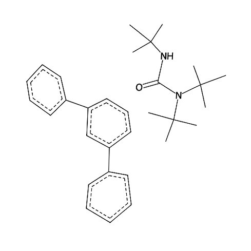 CC(C)(C)NC(=O)N(C(C)(C)C)C(C)(C)C.c1ccc(-c2cccc(-c3ccccc3)c2)cc1